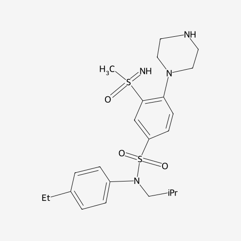 CCc1ccc(N(CC(C)C)S(=O)(=O)c2ccc(N3CCNCC3)c(S(C)(=N)=O)c2)cc1